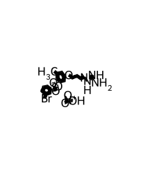 Cc1cc(OCCC=NNC(=N)N)cc(OS(=O)(=O)c2cccc(Br)c2)c1.O=[N+]([O-])O